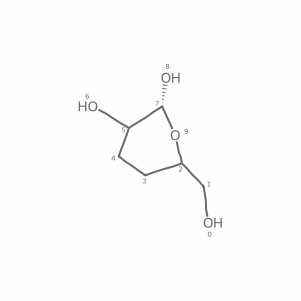 OCC1CCC(O)[C@H](O)O1